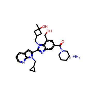 CC1(O)CC(Cn2c(-c3cc4cccnc4n3CC3CC3)nc3cc(C(=O)N4CCC[C@@H](N)C4)cc(CO)c32)C1